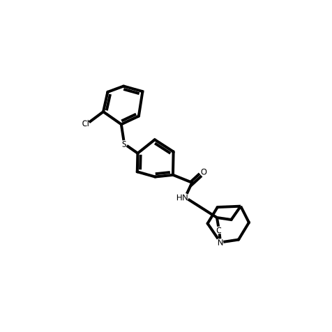 O=C(NC1CC2CCN(CC2)C1)c1ccc(Sc2ccccc2Cl)cc1